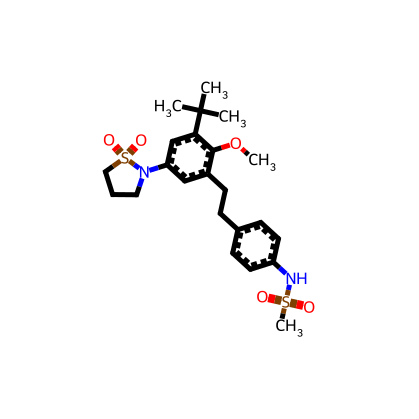 COc1c(CCc2ccc(NS(C)(=O)=O)cc2)cc(N2CCCS2(=O)=O)cc1C(C)(C)C